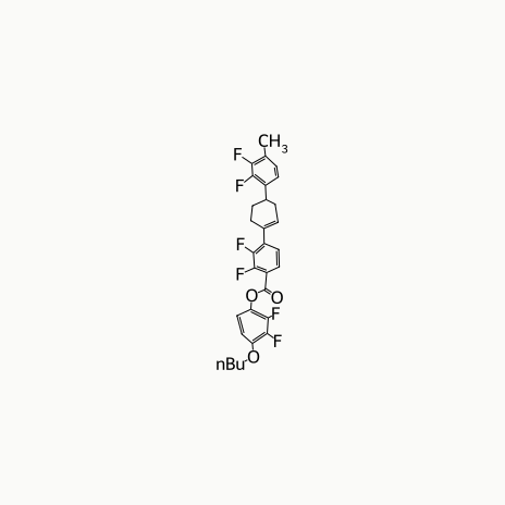 CCCCOc1ccc(OC(=O)c2ccc(C3=CCC(c4ccc(C)c(F)c4F)CC3)c(F)c2F)c(F)c1F